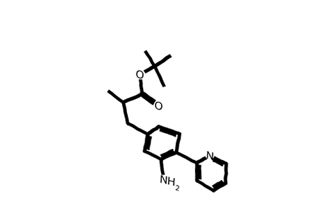 CC(Cc1ccc(-c2ccccn2)c(N)c1)C(=O)OC(C)(C)C